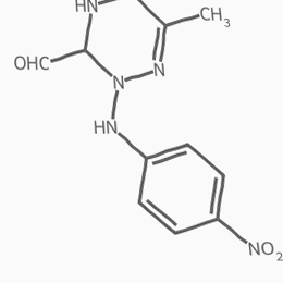 CC1=NN(Nc2ccc([N+](=O)[O-])cc2)C(C=O)NC1